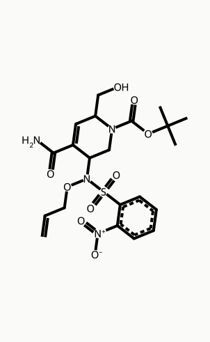 C=CCON(C1CN(C(=O)OC(C)(C)C)C(CO)C=C1C(N)=O)S(=O)(=O)c1ccccc1[N+](=O)[O-]